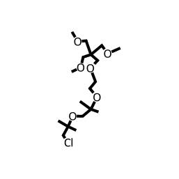 COCC(COC)(COC)COCCOC(C)(C)COC(C)(C)CCl